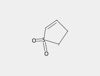 O=S1(=O)[CH]CC=C1